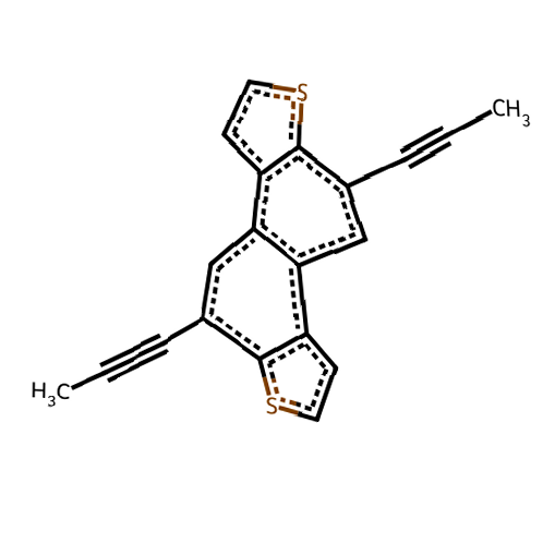 CC#Cc1cc2c3ccsc3c(C#CC)cc2c2ccsc12